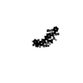 COc1ccccc1C(O)N[C@H](C)c1ccc2cc(-c3nc4cc(C(=O)N5[C@H]6CC[C@@H]5[C@H](N)C6)cc(OC)n4c3C)n(CC3CC3)c2n1